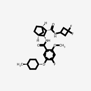 COc1cc(F)c(O[C@H]2CC[C@H](C)CC2)cc1C(=O)N[C@@H]1[C@H]2CC[C@H](C2)[C@@H]1C(=O)NC1CC(F)(F)C1